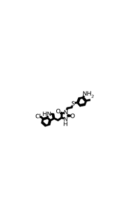 Cc1ccc(SCCN2C(=O)NC(Cc3c[nH]c4c(Cl)cccc34)C2=O)cc1N